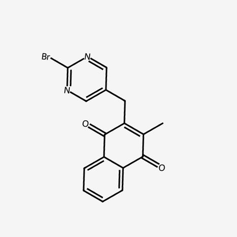 CC1=C(Cc2cnc(Br)nc2)C(=O)c2ccccc2C1=O